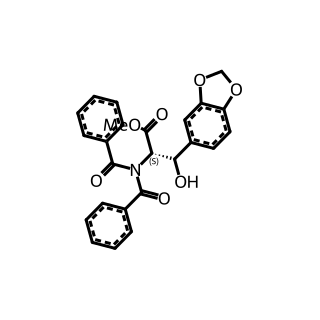 COC(=O)[C@H](C(O)c1ccc2c(c1)OCO2)N(C(=O)c1ccccc1)C(=O)c1ccccc1